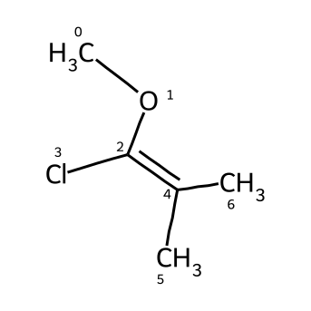 COC(Cl)=C(C)C